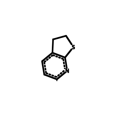 [c]1ccc2c(n1)SCC2